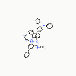 C=C1/C=C\C=C/N(N/C(=N\C(=N/C)c2cccc(-c3ccccc3)c2)c2ccccc2)c2ccc(-c3ccc(Nc4ccccc4)c(-c4ccccc4)c3)cc21